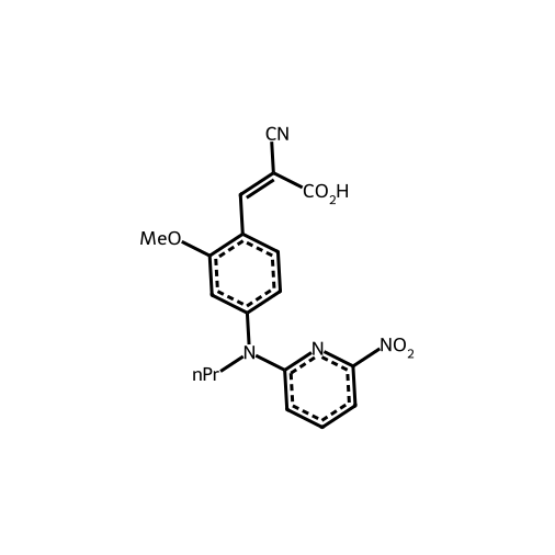 CCCN(c1ccc(/C=C(/C#N)C(=O)O)c(OC)c1)c1cccc([N+](=O)[O-])n1